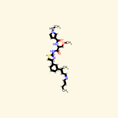 CBn1ccc(C(=O)NC(COC)C(=O)Nc2nc(-c3cccc(/C(C)=C/C=N\C=C\CC)c3)cs2)c1